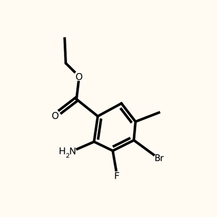 CCOC(=O)c1cc(C)c(Br)c(F)c1N